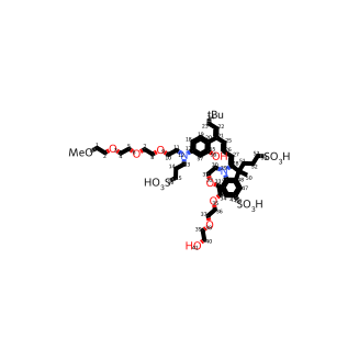 COCCOCCOCCOCCN(CCCS(=O)(=O)O)c1ccc(C(=C\CC(C)(C)C)/C=C/C=C2\N(CCOCCOCCOCCO)c3ccc(S(=O)(=O)O)cc3C2(C)CCCS(=O)(=O)O)c(O)c1